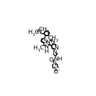 Cc1nc(NC(C)c2ccc(-c3ccccc3CN(C)C)s2)c2cc(N3CC(NC(=O)N4CC[S+]([O-])CC4)C3)ncc2n1